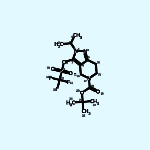 CC(C)n1nc2c(c1OS(=O)(=O)C(F)(F)F)CN(C(=O)OC(C)(C)C)CC2